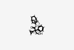 CN1C2CCC1CC(OC(=O)C(CO)(c1ccccc1)C1CC1)C2